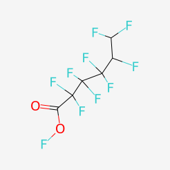 O=C(OF)C(F)(F)C(F)(F)C(F)(F)C(F)C(F)F